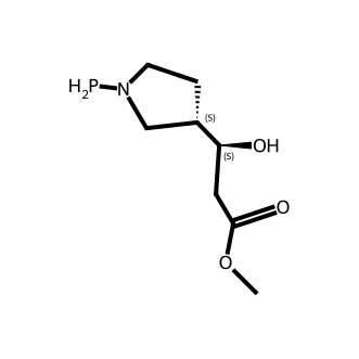 COC(=O)C[C@H](O)[C@H]1CCN(P)C1